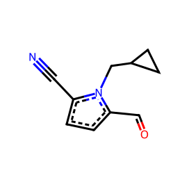 N#Cc1ccc(C=O)n1CC1CC1